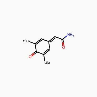 CC(C)(C)C1=CC(=CC(N)=O)C=C(C(C)(C)C)C1=O